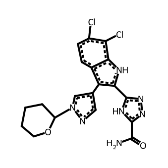 NC(=O)c1nnc(-c2[nH]c3c(Cl)c(Cl)ccc3c2-c2cnn(C3CCCCO3)c2)[nH]1